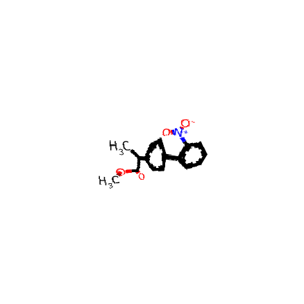 COC(=O)C(C)c1ccc(-c2ccccc2[N+](=O)[O-])cc1